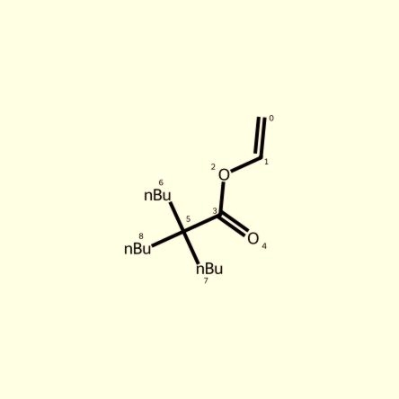 C=COC(=O)C(CCCC)(CCCC)CCCC